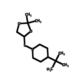 CC1(C)OCC(SN2CCC(C(C)(C)C)CC2)O1